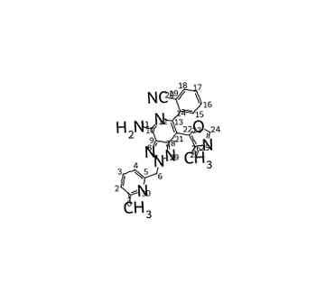 Cc1cccc(Cn2nc3c(N)nc(-c4ccccc4C#N)c(-c4ocnc4C)c3n2)n1